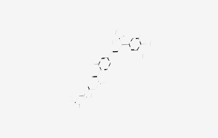 Cc1cc(/C=C/C(c2cc(Cl)c(Cl)c(Cl)c2)C(F)(F)F)ccc1C(=O)N[C@H](C)C(=O)NCC(F)(F)F